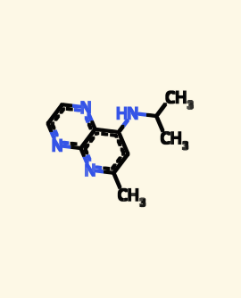 Cc1cc(NC(C)C)c2nccnc2n1